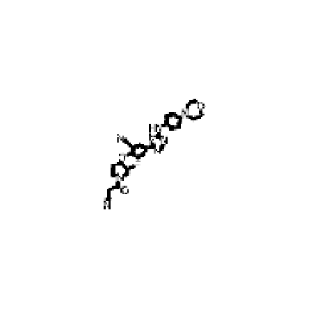 N#CCC(=O)N1CCC(Oc2ccc(-c3ncnc(Nc4ccc(N5CCOCC5)cc4)n3)cc2C#N)C(F)C1